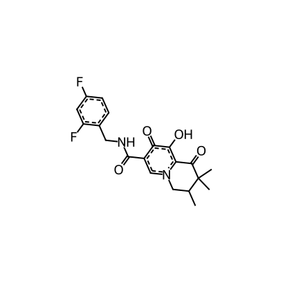 CC1Cn2cc(C(=O)NCc3ccc(F)cc3F)c(=O)c(O)c2C(=O)C1(C)C